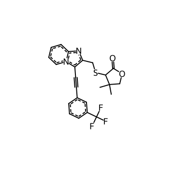 CC1(C)COC(=O)C1SCc1nc2ccccn2c1C#Cc1cccc(C(F)(F)F)c1